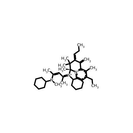 C=C1/C(=C\CC)C(C)(C)[C@@](C)(/[N+](=C(C)\C=C(\C)N(C)C2CCCCC2)C2CCCCC2)[n+]2ccc(CC)c(C)c21